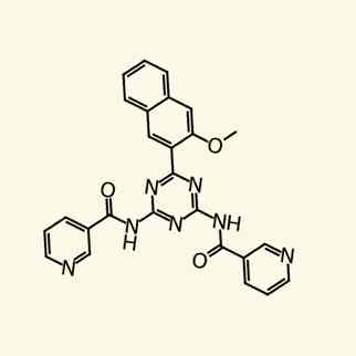 COc1cc2ccccc2cc1-c1nc(NC(=O)c2cccnc2)nc(NC(=O)c2cccnc2)n1